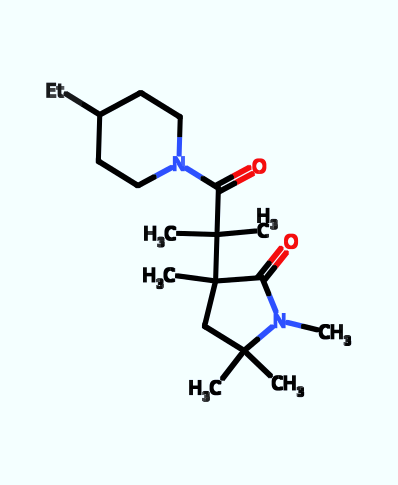 CCC1CCN(C(=O)C(C)(C)C2(C)CC(C)(C)N(C)C2=O)CC1